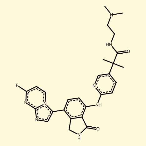 CN(C)CCNC(=O)C(C)(C)c1ccc(Nc2ccc(-c3cnc4nc(F)ccn34)c3c2C(=O)NC3)nc1